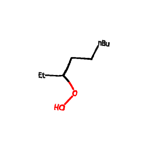 CCCCCCC(CC)OO